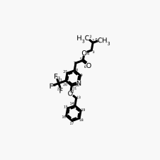 CC(C)COC(=O)Cc1cnc(OCc2ccccc2)c(C(F)(F)F)c1